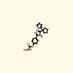 CCNC(=O)Oc1ccc(-c2nnc(C3(c4cccs4)CCCC3)n2C)cc1